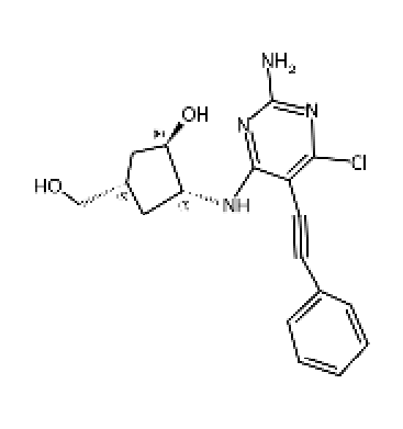 Nc1nc(Cl)c(C#Cc2ccccc2)c(N[C@@H]2C[C@H](CO)C[C@H]2O)n1